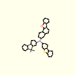 CC1(C)c2ccccc2-c2ccc(N(c3ccc4c(ccc5c6ccccc6oc45)c3)c3ccc4c(c3)sc3ccccc34)cc21